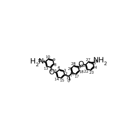 C[C](c1ccc(Oc2cccc(N)c2)cc1)c1ccc(Oc2cccc(N)c2)cc1